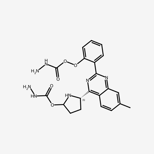 Cc1ccc2c([C@@H]3CCC(OC(=O)NN)N3)nc(-c3ccccc3OOC(=O)NN)nc2c1